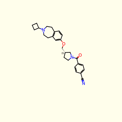 N#Cc1ccc(C(=O)N2CC[C@H](COc3ccc4c(c3)CCN(C3CCC3)CC4)C2)cc1